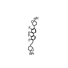 CCCC1CCC(CCc2ccc(-c3ccc(C4CCC(CCC)OC4)c(F)c3F)c(F)c2F)CO1